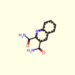 NC(=O)c1cc2ccccc2nc1C(N)=O